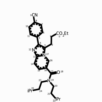 CCOC(=O)CCc1c(-c2ccc(C#N)cc2)nc2ccc(C(=O)N(CCC(C)C)CCC(C)C)cn12